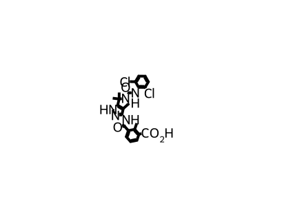 Cc1c(C(=O)O)cccc1C(=O)Nc1n[nH]c2c1CN(C(=O)Nc1c(Cl)cccc1Cl)C2(C)C